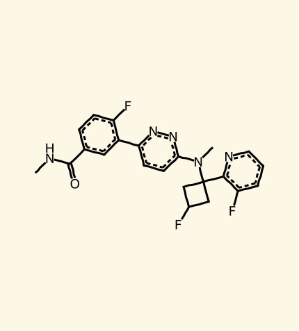 CNC(=O)c1ccc(F)c(-c2ccc(N(C)C3(c4ncccc4F)CC(F)C3)nn2)c1